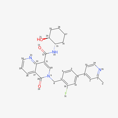 Cc1cc(-c2ccc(Cn3cc(C(=O)N[C@H]4CCCC[C@@H]4O)c4ncccc4c3=O)c(F)c2)ccn1